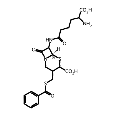 NC(CCCC(=O)NC1C(=O)N2CC(CSC(=O)c3ccccc3)C(C(=O)O)S[C@H]12)C(=O)O